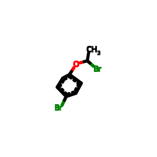 CC(Br)Oc1ccc(Br)cc1